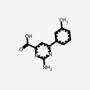 Cc1cccc(-c2cc(C(=O)O)nc(N)n2)c1